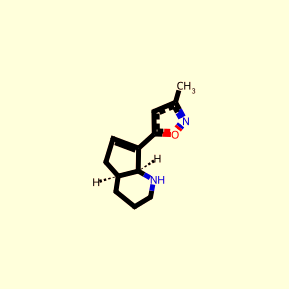 Cc1cc(C2=CC[C@@H]3CCCN[C@H]23)on1